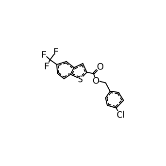 O=C(OCc1ccc(Cl)cc1)c1cc2cc(C(F)(F)F)ccc2s1